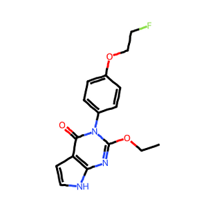 CCOc1nc2[nH]ccc2c(=O)n1-c1ccc(OCCF)cc1